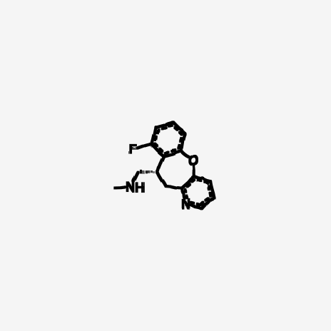 CNC[C@H]1Cc2ncccc2Oc2cccc(F)c21